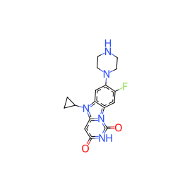 O=c1cc2n(C3CC3)c3cc(N4CCNCC4)c(F)cc3n2c(=O)[nH]1